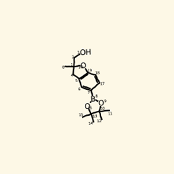 CC1(CO)Cc2cc(B3OC(C)(C)C(C)(C)O3)ccc2O1